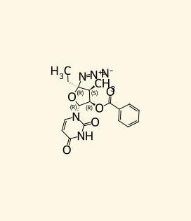 CC[C@@]1(N=[N+]=[N-])O[C@@H](n2ccc(=O)[nH]c2=O)[C@H](OC(=O)c2ccccc2)[C@@H]1C